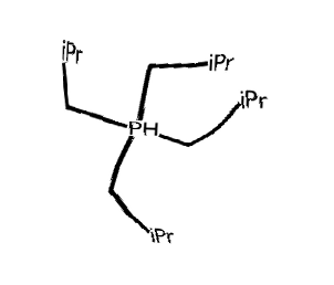 CC(C)C[PH](CC(C)C)(CC(C)C)CC(C)C